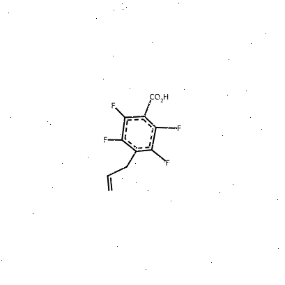 C=CCc1c(F)c(F)c(C(=O)O)c(F)c1F